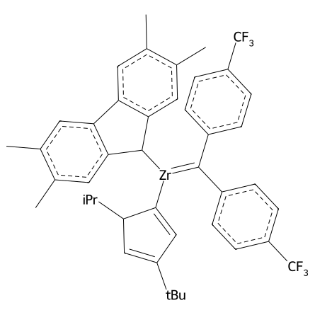 Cc1cc2c(cc1C)[CH]([Zr]([C]1=CC(C(C)(C)C)=CC1C(C)C)=[C](c1ccc(C(F)(F)F)cc1)c1ccc(C(F)(F)F)cc1)c1cc(C)c(C)cc1-2